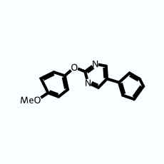 COc1ccc(Oc2ncc(-c3ccccc3)cn2)cc1